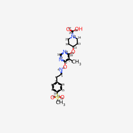 Cc1c(ON=CCc2ccc(S(C)(=O)=O)cc2)ncnc1OC1CCN(C(=O)O)CC1